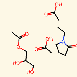 CC(=O)O.CC(=O)O.CC(=O)OCC(O)CO.CCN1CCCC1=O